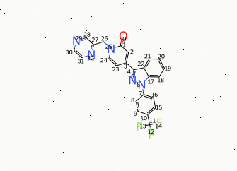 O=c1cc(-c2nn(-c3ccc(C(F)(F)F)cc3)c3ccccc23)ccn1Cc1cnccn1